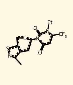 CCn1c(C(F)(F)F)cc(=O)n(-c2ccc3snc(C)c3c2)c1=O